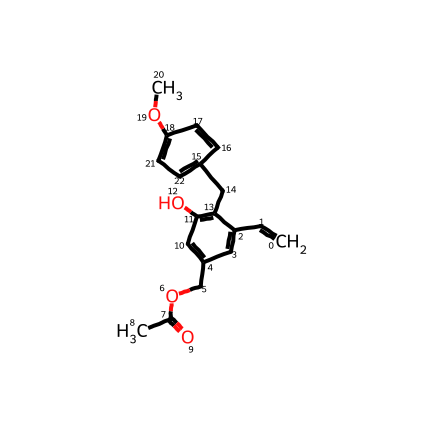 C=Cc1cc(COC(C)=O)cc(O)c1Cc1ccc(OC)cc1